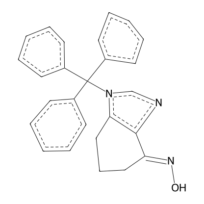 ON=C1CCCc2c1ncn2C(c1ccccc1)(c1ccccc1)c1ccccc1